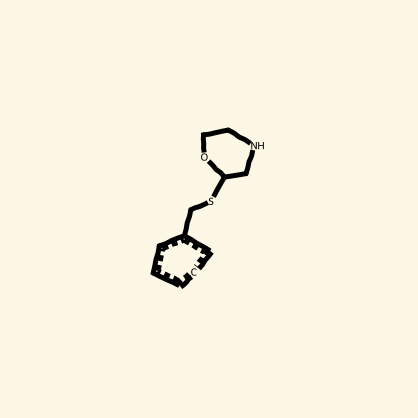 c1ccc(CSC2CNCCO2)cc1